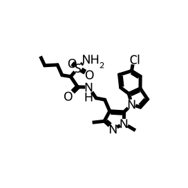 CCCCC(C(=O)NCCc1c(C)nn(C)c1-n1ccc2cc(Cl)ccc21)S(N)(=O)=O